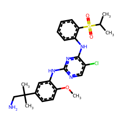 COc1ccc(C(C)(C)CN)cc1Nc1ncc(Cl)c(Nc2ccccc2S(=O)(=O)C(C)C)n1